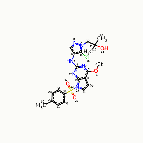 CCOc1nc(Nc2cnn(CC(C)(C)O)c2Cl)nc2c1ccn2S(=O)(=O)c1ccc(C)cc1